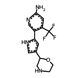 Nc1cc(C(F)(F)F)c(-c2cc(C3CNCCO3)c[nH]2)cn1